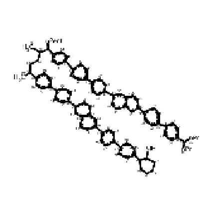 CCCCCC(c1ccc(-c2ccc(-c3ccc(-c4ccc5cc(-c6ccc(-c7ccc(C(CCC)CCC)cc7)cc6)ccc5c4)cc3)cc2)cc1)C(C)CCC(C)c1ccc(-c2ccc(-c3ccc4cc(-c5ccc(-c6ccc(C7CCCCC7O)cc6)cc5)ccc4c3)cc2)cc1